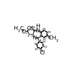 COC(=O)C[C@@H]1N=C(c2ccc(Cl)cc2)c2cc(C)ccc2NC1=S